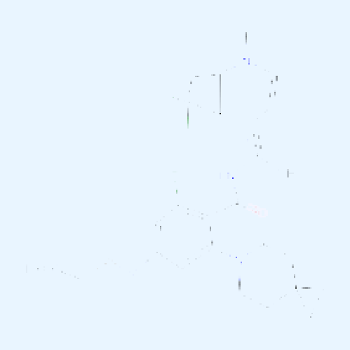 CCOC(=O)CSNc1cc(F)c(C(=O)N/C(C=O)=C/C=C\N(C)C2CC(F)(F)C2)c(N2CCC3(CC2)CC3)c1